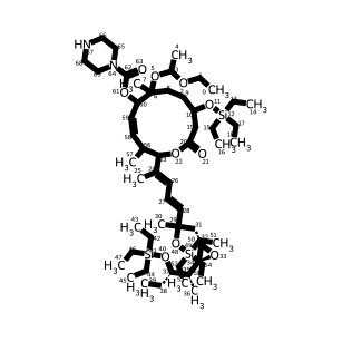 CCOC(C)OC1(C)CCC(O[Si](CC)(CC)CC)CC(=O)OC(/C(C)=C/C=C/C(C)(C[C@@H]2O[C@H]2[C@H](C)[C@H](CC)O[Si](CC)(CC)CC)O[Si](CC)(CC)CC)C(C)C=CC1OC(=O)N1CCNCC1